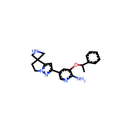 CC(Oc1cc(-c2cc3n(n2)CCC32CNC2)cnc1N)c1ccccc1